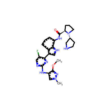 COc1nn(C)cc1Nc1ncc(F)c(-c2c[nH]c3c(NC(=O)[C@H]4CCCN4[C@@H]4CCNC4)cccc23)n1